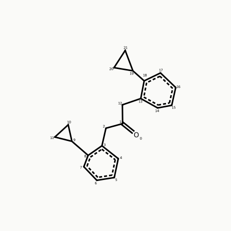 O=C(Cc1ccccc1C1CC1)Cc1ccccc1C1CC1